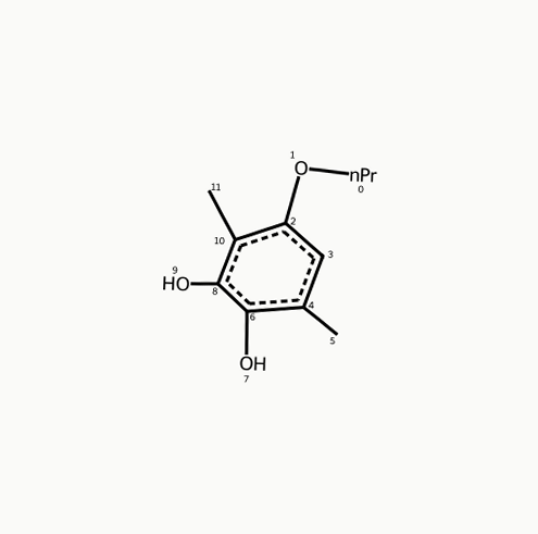 CCCOc1cc(C)c(O)c(O)c1C